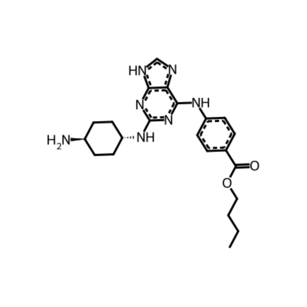 CCCCOC(=O)c1ccc(Nc2nc(N[C@H]3CC[C@H](N)CC3)nc3[nH]cnc23)cc1